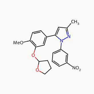 COc1ccc(-c2cc(C)nn2-c2cccc([N+](=O)[O-])c2)cc1OC1CCCO1